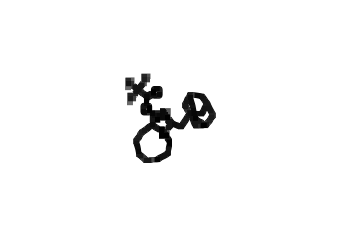 O=C(ON1N=C(CC23CC4CC(CC(C4)C2)C3)N2CCCCCCCC12)C(F)(F)F